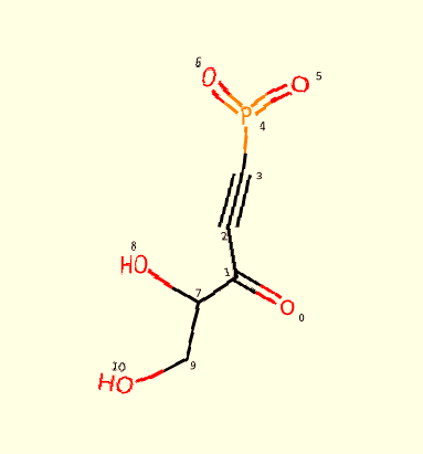 O=C(C#CP(=O)=O)C(O)CO